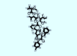 CC[C@H](C)[C@@H]([C@@H](CC(=O)N1CCC[C@H]1[C@H](OC)[C@@H](C)C(=O)N[C@@H](Cc1ccccc1)C(=O)Nc1ccc(C)cc1)OC)N(C)C(=O)[C@@H](NC(=O)C(C(C)C)N(C)C)C(C)C